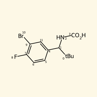 CC(C)(C)C(NC(=O)O)c1ccc(F)c(Br)c1